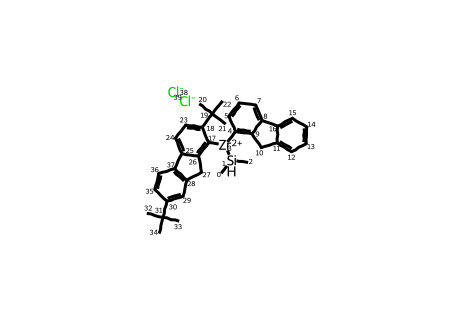 C[SiH](C)[Zr+2]([c]1cccc2c1Cc1ccccc1-2)[c]1c(C(C)(C)C)ccc2c1Cc1cc(C(C)(C)C)ccc1-2.[Cl-].[Cl-]